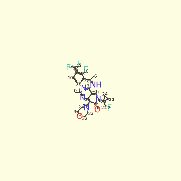 Cc1nc(N[C@H](C)c2cccc(C(F)F)c2F)c2cn(C3(CF)CC3)c(=O)c(N3CCOCC3)c2n1